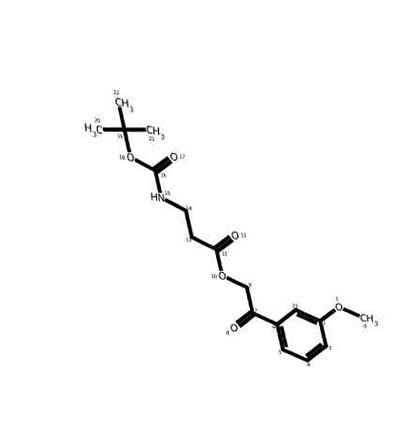 COc1cccc(C(=O)COC(=O)CCNC(=O)OC(C)(C)C)c1